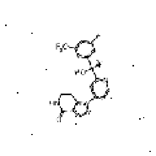 [2H]C(O)(c1cc(F)cc(C(F)(F)F)c1)c1cc(-n2ncc3c2CCNC3=O)ccn1